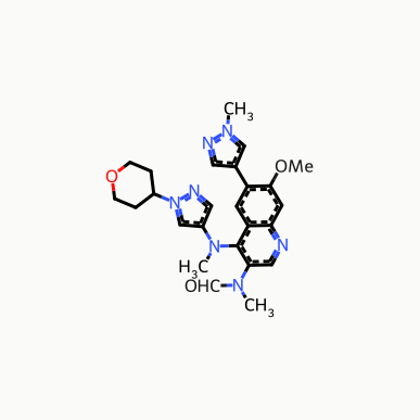 COc1cc2ncc(N(C)C=O)c(N(C)c3cnn(C4CCOCC4)c3)c2cc1-c1cnn(C)c1